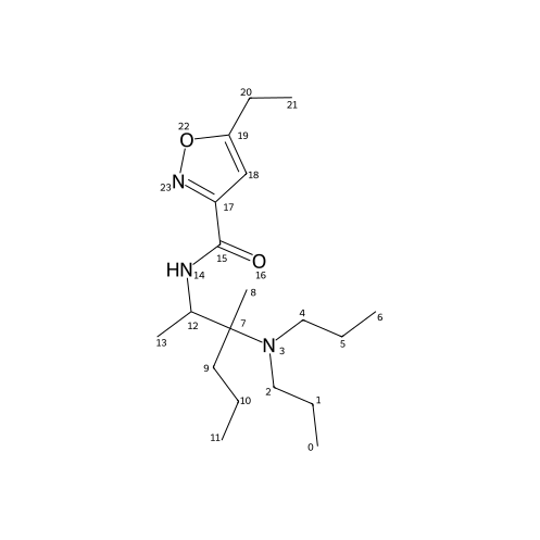 CCCN(CCC)C(C)(CCC)C(C)NC(=O)c1cc(CC)on1